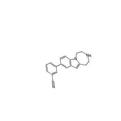 N#Cc1cccc(-c2ccc3c(c2)cc2n3CCNCC2)c1